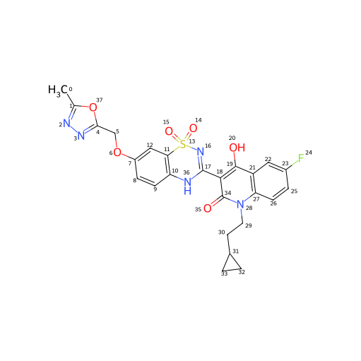 Cc1nnc(COc2ccc3c(c2)S(=O)(=O)N=C(c2c(O)c4cc(F)ccc4n(CCC4CC4)c2=O)N3)o1